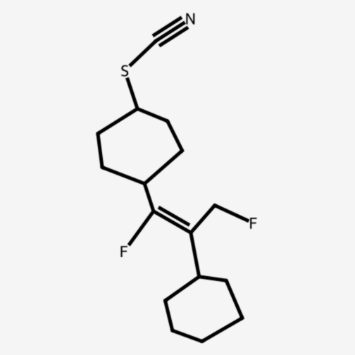 N#CSC1CCC(/C(F)=C(\CF)C2CCCCC2)CC1